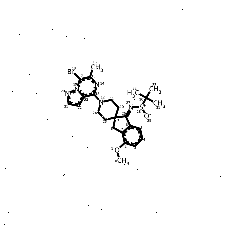 COc1cccc2c1CC1(CCN(c3nc(C)c(Br)n4nccc34)CC1)C2=N[S+]([O-])C(C)(C)C